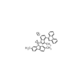 CC1=C[CH]([Zr+2]2([CH]3c4cc(C)ccc4-c4ccc(C)cc43)[CH2][CH2]2)c2cccc(-c3cc4ccccc4c4ccccc34)c21.[Cl-].[Cl-]